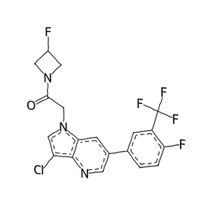 O=C(Cn1cc(Cl)c2ncc(-c3ccc(F)c(C(F)(F)F)c3)cc21)N1CC(F)C1